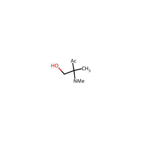 CNC(C)(CO)C(C)=O